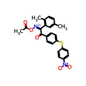 CC(=O)O/N=C(\C(=O)c1ccc(Sc2ccc([N+](=O)[O-])cc2)cc1)c1cc(C)ccc1C